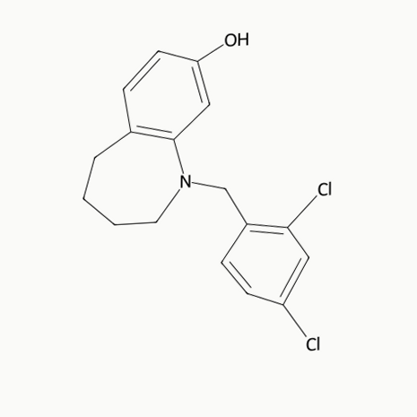 Oc1ccc2c(c1)N(Cc1ccc(Cl)cc1Cl)CCCC2